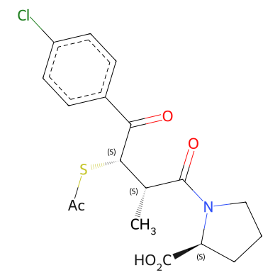 CC(=O)S[C@H](C(=O)c1ccc(Cl)cc1)[C@@H](C)C(=O)N1CCC[C@H]1C(=O)O